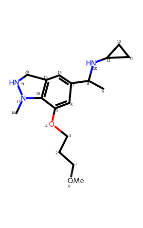 COCCCOc1cc(C(C)NC2CC2)cc2c1N(C)NC2